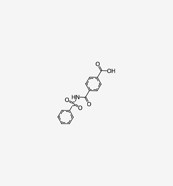 O=C(O)c1ccc(C(=O)NS(=O)(=O)c2ccccc2)cc1